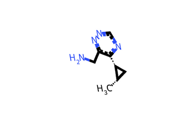 C[C@H]1C[C@H]1c1ncnnc1CN